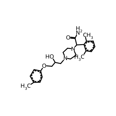 Cc1ccc(OCC(O)CN2CCN(C(C(N)=O)c3c(C)cccc3C)CC2)cc1